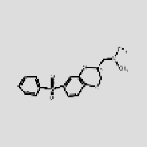 CN(C)C[C@H]1COc2ccc(S(=O)(=O)c3ccccc3)cc2O1